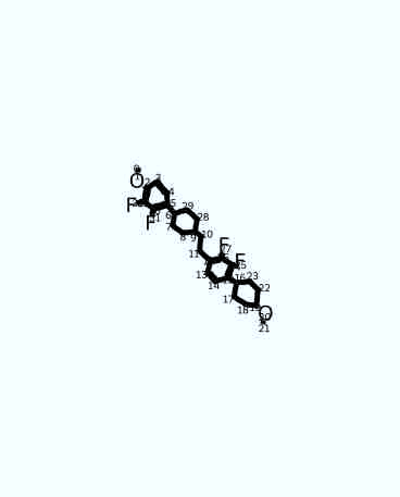 COc1ccc(C2CCC(CCc3ccc(C4CCC(OC)CC4)c(F)c3F)CC2)c(F)c1F